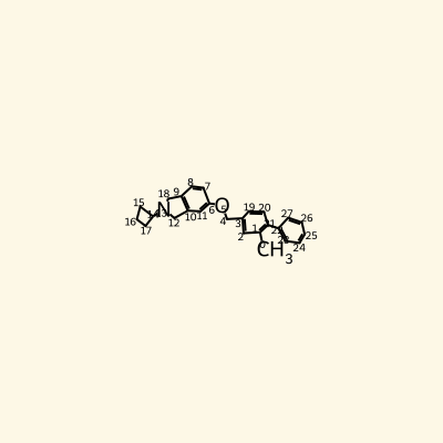 Cc1cc(COc2ccc3c(c2)CN(C2CCC2)C3)ccc1-c1ccccc1